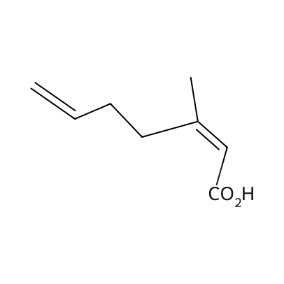 C=CCC/C(C)=C\C(=O)O